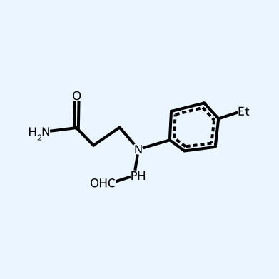 CCc1ccc(N(CCC(N)=O)PC=O)cc1